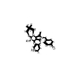 CCN1C(=O)c2c(c(C)n(Cc3ccc(Cl)cc3)c2SC2=CCNC=C2)N2CC(C)(C)CN=C12